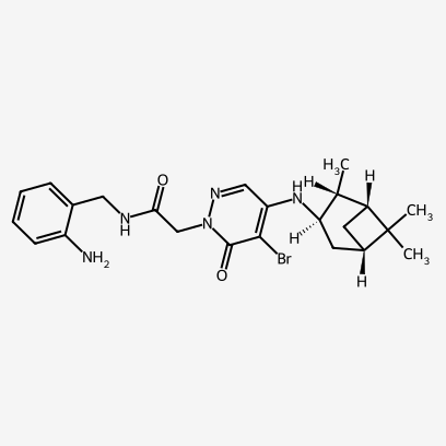 C[C@@H]1[C@H]2C[C@@H](C[C@H]1Nc1cnn(CC(=O)NCc3ccccc3N)c(=O)c1Br)C2(C)C